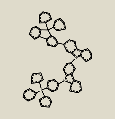 c1ccc(C2(c3ccccc3)c3ccccc3-c3ccc(-c4ccc5c6ccccc6n(-c6ccc7c(c6)c6ccccc6n7-c6ccc([Si](c7ccccc7)(c7ccccc7)c7ccccc7)cc6)c5c4)cc32)cc1